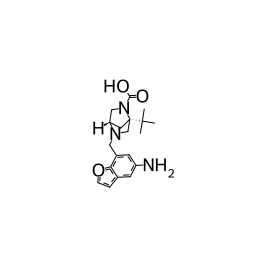 CC(C)(C)[C@]12C[C@@H](CN1C(=O)O)N(Cc1cc(N)cc3ccoc13)C2